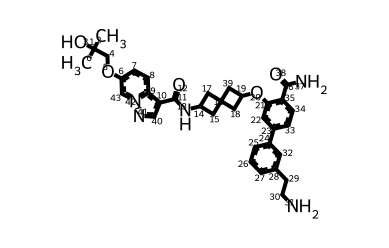 CC(C)(O)COc1ccc2c(C(=O)NC3CC4(C3)CC(Oc3cc(-c5cccc(CCN)c5)ccc3C(N)=O)C4)cnn2c1